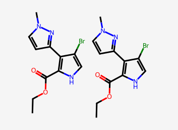 CCOC(=O)c1[nH]cc(Br)c1-c1ccn(C)n1.CCOC(=O)c1[nH]cc(Br)c1-c1ccn(C)n1